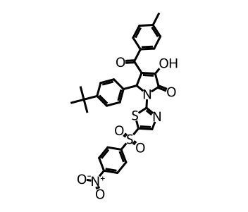 Cc1ccc(C(=O)C2=C(O)C(=O)N(c3ncc(S(=O)(=O)c4ccc([N+](=O)[O-])cc4)s3)C2c2ccc(C(C)(C)C)cc2)cc1